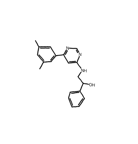 Cc1cc(C)cc(-c2cc(NCC(O)c3ccccc3)ncn2)c1